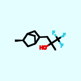 C[C@@H]1CC2CC1CC2CC(C)(O)C(F)(F)F